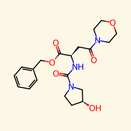 O=C(OCc1ccccc1)[C@@H](CC(=O)N1CCOCC1)NC(=O)N1CC[C@H](O)C1